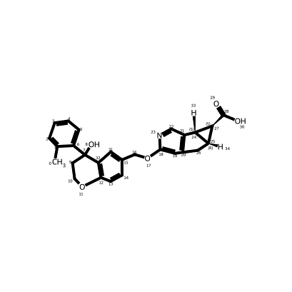 Cc1ccccc1C1(O)CCOc2ccc(COc3cc4c(cn3)[C@H]3[C@@H](C4)[C@@H]3C(=O)O)cc21